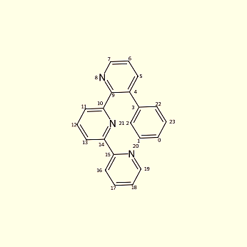 c1ccc(-c2cccnc2-c2cccc(-c3ccccn3)n2)cc1